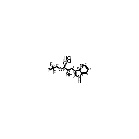 Cl.Cl.N[C@@H](Cc1c[nH]c2cccnc12)C(=O)OCC(F)(F)F